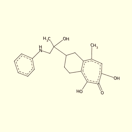 Cc1cc(O)c(=O)c(O)c2c1CC(C(C)(O)CNc1ccccc1)CC2